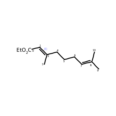 CCOC(=O)/C=C(\C)CCCC=C(C)C